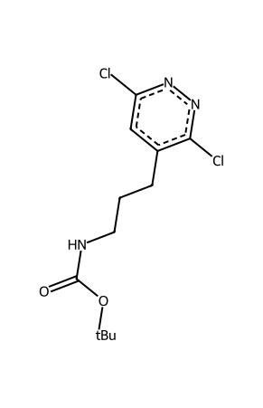 CC(C)(C)OC(=O)NCCCc1cc(Cl)nnc1Cl